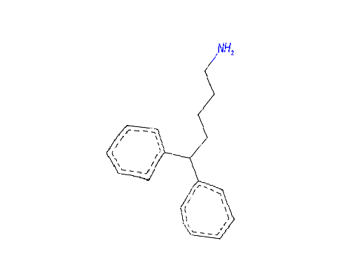 NCCCCC(c1ccccc1)c1ccccc1